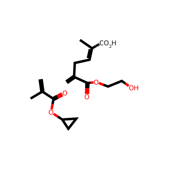 C=C(C)C(=O)OC1CC1.C=C(CC=C(C)C(=O)O)C(=O)OCCO